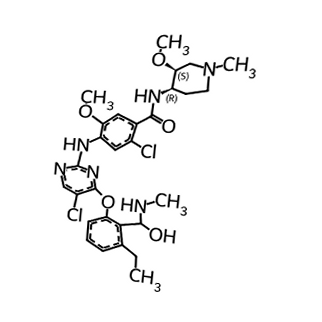 CCc1cccc(Oc2nc(Nc3cc(Cl)c(C(=O)N[C@@H]4CCN(C)C[C@@H]4OC)cc3OC)ncc2Cl)c1C(O)NC